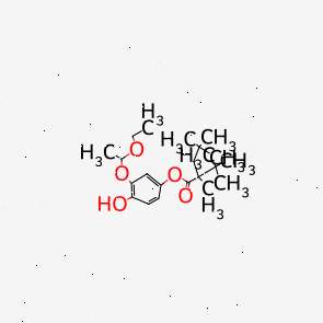 CCOC(C)Oc1cc(OC(=O)C(C)(CC(C)(C)C)C(C)(C)C)ccc1O